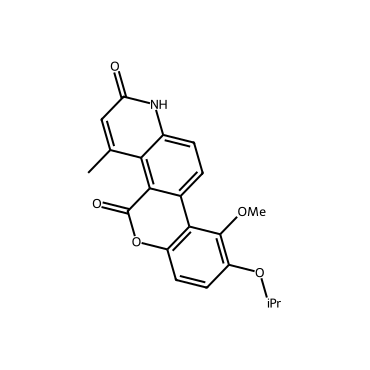 COc1c(OC(C)C)ccc2oc(=O)c3c(ccc4[nH]c(=O)cc(C)c43)c12